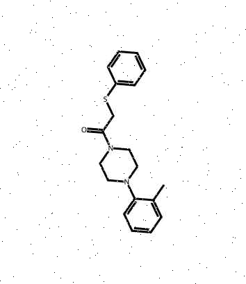 Cc1ccccc1N1CCN(C(=O)CSc2ccccc2)CC1